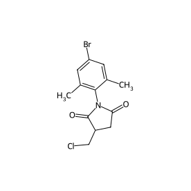 Cc1cc(Br)cc(C)c1N1C(=O)CC(CCl)C1=O